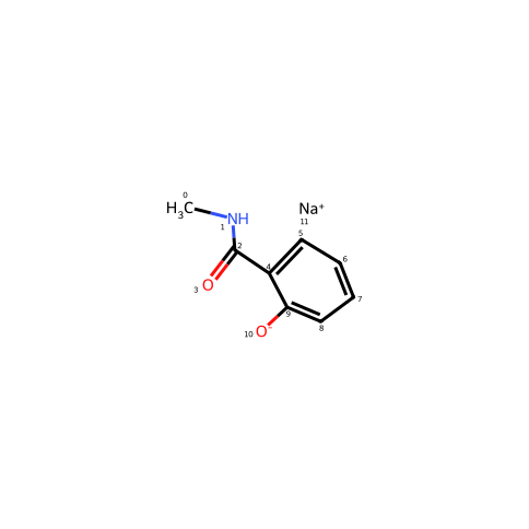 CNC(=O)c1ccccc1[O-].[Na+]